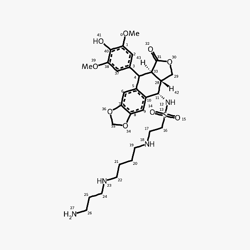 COc1cc(C2c3cc4c(cc3[C@@H](NS(=O)(=O)CCNCCCCNCCCN)[C@H]3COC(=O)[C@H]23)OCO4)cc(OC)c1O